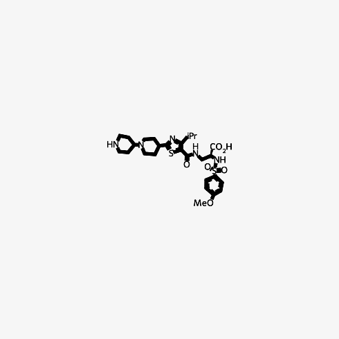 COc1ccc(S(=O)(=O)N[C@@H](CNC(=O)c2sc(C3CCN(C4CCNCC4)CC3)nc2C(C)C)C(=O)O)cc1